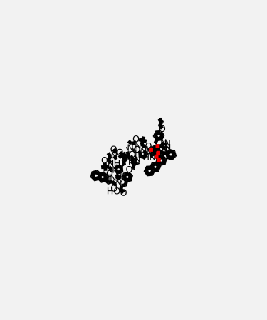 C=CCOc1ccc(C[C@H](NC(=O)C(Cc2ccc3ccccc3c2)NC(=O)[C@@H]2C[C@@H](n3cc(COc4ccc(CC(NC(=O)C(Cc5ccc6ccccc6c5)NC(=O)[C@@H]5C[C@H](CC=C)CN5C(=O)C(NC(=O)C(C)N(C)C(=O)OC(C)(C)C)C(C)(C)C)C(=O)O)cc4)nn3)CN2C(=O)C(NC(=O)C(C)N(C)C(=O)OC(C)(C)C)C(C)(C)C)c2nnnn2C(c2ccccc2)(c2ccccc2)c2ccccc2)cc1